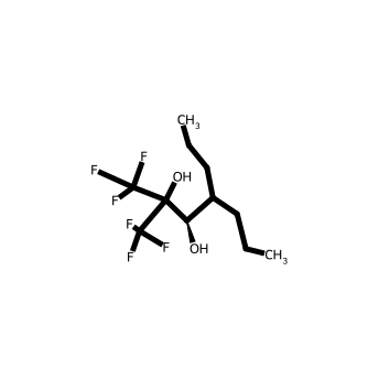 CCCC(CCC)[C@@H](O)C(O)(C(F)(F)F)C(F)(F)F